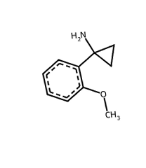 COc1ccccc1C1(N)CC1